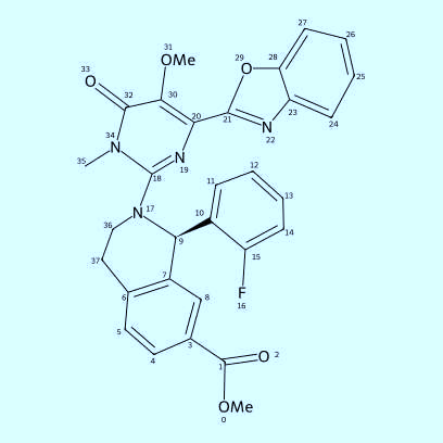 COC(=O)c1ccc2c(c1)[C@H](c1ccccc1F)N(c1nc(-c3nc4ccccc4o3)c(OC)c(=O)n1C)CC2